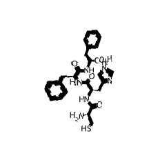 N[C@@H](CS)C(=O)N[C@@H](Cc1c[nH]cn1)C(=O)N[C@@H](Cc1ccccc1)C(=O)N[C@@H](Cc1ccccc1)C(=O)O